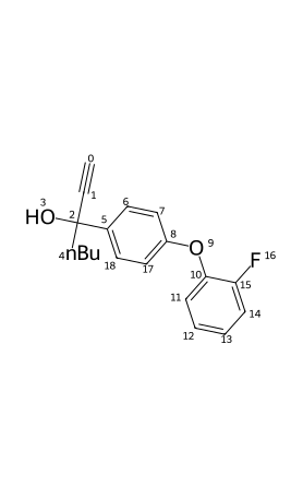 C#CC(O)(CCCC)c1ccc(Oc2ccccc2F)cc1